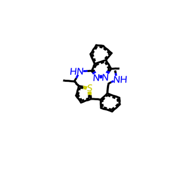 CNCc1ccccc1-c1ccc(C(C)Nc2nnc(C)c3ccccc23)s1